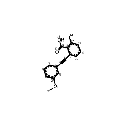 COc1cccc(C#Cc2cccc(C)c2C(=O)O)c1